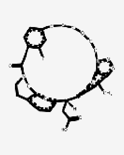 Cc1c2ccc3c1nnn3CCOCCCc1ccc(c(F)c1)C(=O)N1CCc3ccc(cc3C1)[C@H]2CC(=O)O